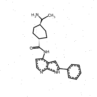 CC(N)[C@H]1CC[C@H](C(=O)Nc2ccnc3[nH]c(-c4ccccc4)cc23)CC1